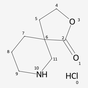 Cl.O=C1OCCC12CCCNC2